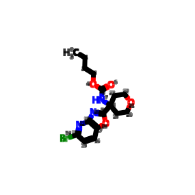 CCCCOC(=O)NC1(c2nc3nc(Br)ccc3o2)CCOCC1